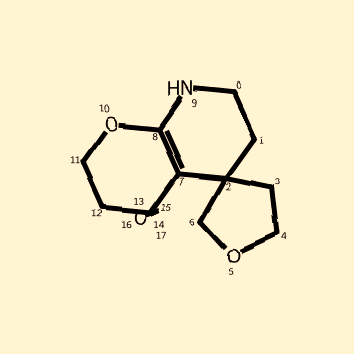 C1CC2(CCOC2)C2=C(N1)OCCC21CCOC1